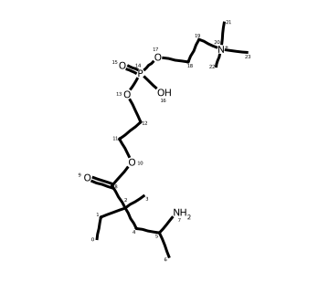 CCC(C)(CC(C)N)C(=O)OCCOP(=O)(O)OCC[N+](C)(C)C